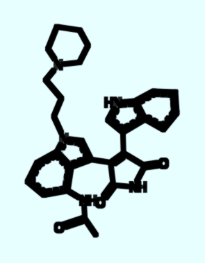 CC(=O)Nc1cccc2c1c(C1=C(c3c[nH]c4ccccc34)C(=O)NC1=O)cn2CCCN1CCCCC1